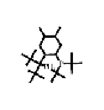 CC1CC(P(C(C)(C)C)C(C)(C)C)C(C(P)(C(C)(C)C)C(C)(C)C)CC1C